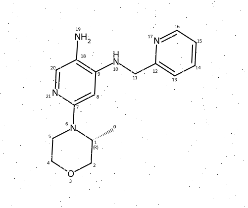 C[C@@H]1COCCN1c1cc(NCc2ccccn2)c(N)cn1